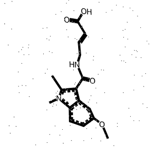 COc1ccc2c(c1)c(C(=O)NCC=CC(=O)O)c(C)n2C